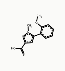 COc1ccccc1-c1cc(C(=O)O)nn1C